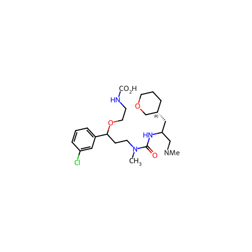 CNCC(C[C@H]1CCCOC1)NC(=O)N(C)CCC(OCCNC(=O)O)c1cccc(Cl)c1